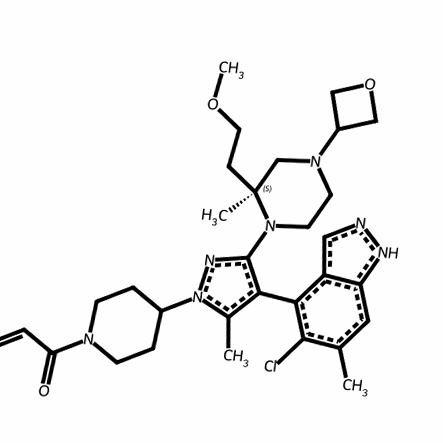 C=CC(=O)N1CCC(n2nc(N3CCN(C4COC4)C[C@]3(C)CCOC)c(-c3c(Cl)c(C)cc4[nH]ncc34)c2C)CC1